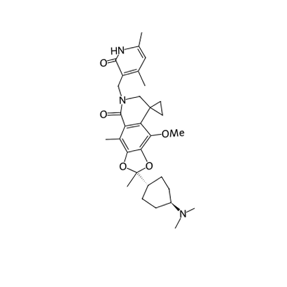 COc1c2c(c(C)c3c1C1(CC1)CN(Cc1c(C)cc(C)[nH]c1=O)C3=O)OC(C)([C@H]1CC[C@H](N(C)C)CC1)O2